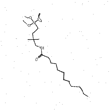 CCCCCCC[CH]CCCC(=O)NCC(C)(C)CC[Si](OC)(OC)OC